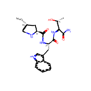 CO[C@H]1CN[C@H](C(=O)N[C@@H](Cc2c[nH]c3ccccc23)C(=O)NC(C(N)=O)[C@@H](C)O)C1